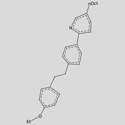 CCCCCCCCc1ccc(-c2ccc(CCc3ccc(OCC)cc3)cc2)nc1